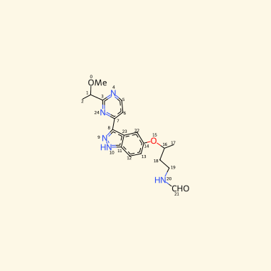 COC(C)c1nccc(-c2n[nH]c3ccc(OC(C)CCNC=O)cc23)n1